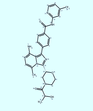 Cc1cnc(N)c2c(-c3ccc(C(=O)Nc4cc(C(F)(F)F)ccn4)cc3)nc([C@H]3CN(C(=O)C(C)O)CCO3)n12